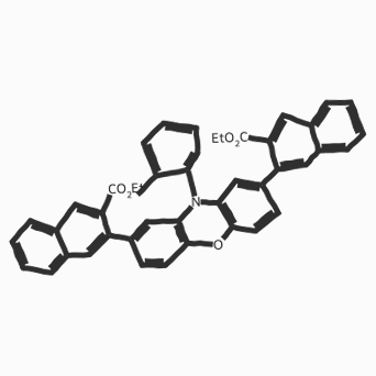 CCOC(=O)c1cc2ccccc2cc1-c1ccc2c(c1)N(c1ccccc1C)c1cc(-c3cc4ccccc4cc3C(=O)OCC)ccc1O2